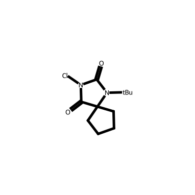 CC(C)(C)N1C(=O)N(Cl)C(=O)C12CCCC2